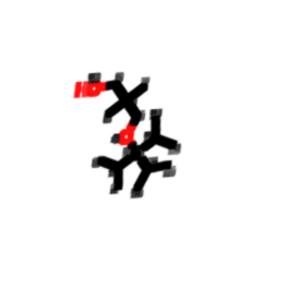 CC(C)[Si](OCC(C)(C)CO)(C(C)C)C(C)C